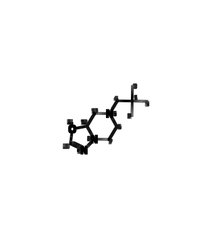 CC(C)(C)CN1CCN2N=COC2C1